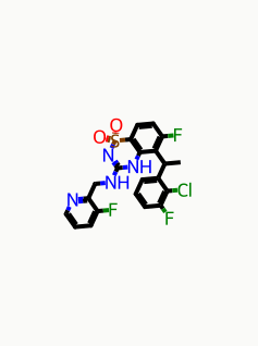 CC(c1cccc(F)c1Cl)c1c(F)ccc2c1NC(NCc1ncccc1F)=NS2(=O)=O